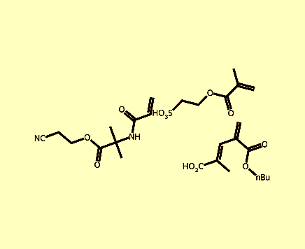 C=C(C)C(=O)OCCS(=O)(=O)O.C=C(C=C(C)C(=O)O)C(=O)OCCCC.C=CC(=O)NC(C)(C)C(=O)OCCC#N